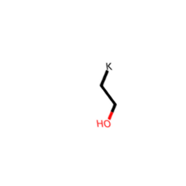 OC[CH2][K]